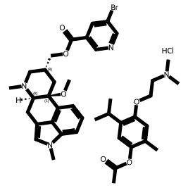 CC(=O)Oc1cc(C(C)C)c(OCCN(C)C)cc1C.CO[C@]12C[C@@H](COC(=O)c3cncc(Br)c3)CN(C)[C@@H]1Cc1cn(C)c3cccc2c13.Cl